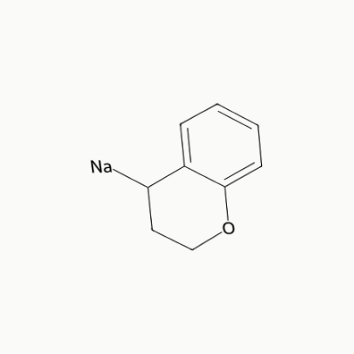 [Na][CH]1CCOc2ccccc21